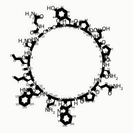 CCCC[C@H]1C(=O)N(C)[C@@H](CCCC)C(=O)N[C@@H](CN)C(=O)N[C@H](C(=O)NCC(N)=O)CSCC(=O)N[C@@H](Cc2ccc(O)cc2)C(=O)N2CCC[C@H]2C(=O)NC(CC(=O)O)C(=O)N2CCC[C@H]2C(=O)N[C@@H](CN)C(=O)N[C@@H](CCC(N)=O)C(=O)N2CCC[C@H]2C(=O)N[C@@H](Cc2c[nH]c3ccccc23)C(=O)N[C@@H](CCN)C(=O)N[C@@H](Cc2c[nH]c3ccccc23)C(=O)N1C